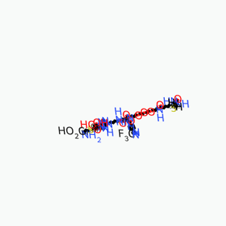 N[C@@H](CCSC[C@H]1O[C@@H](n2cnc3c(NCCCCNC(=O)C[C@H](NC(=O)c4ccc(C5(C(F)(F)F)N=N5)cc4)C(=O)NCCCOCCOCCOCCCNC(=O)CCCC[C@@H]4SC[C@@H]5NC(=O)N[C@@H]54)ncnc32)C(O)[C@H]1O)C(=O)O